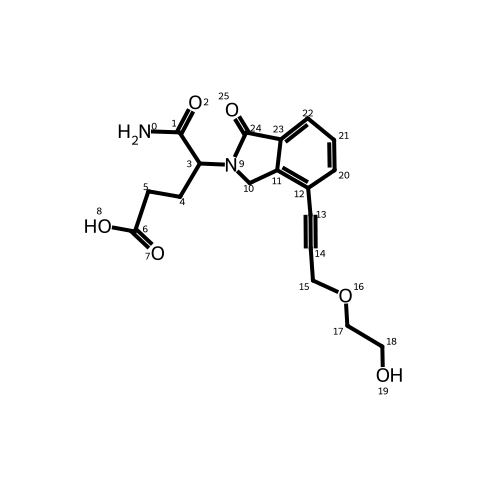 NC(=O)C(CCC(=O)O)N1Cc2c(C#CCOCCO)cccc2C1=O